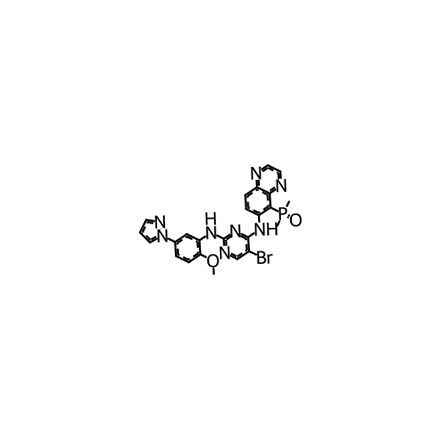 COc1ccc(-n2cccn2)cc1Nc1ncc(Br)c(Nc2ccc3nccnc3c2P(C)(C)=O)n1